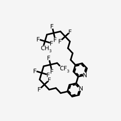 CC(F)(F)CC(F)(F)CC(F)(F)CCCCc1ccnc(-c2cc(CCCC(F)(F)CC(F)(F)CC(F)(F)CC(F)(F)F)ccn2)c1